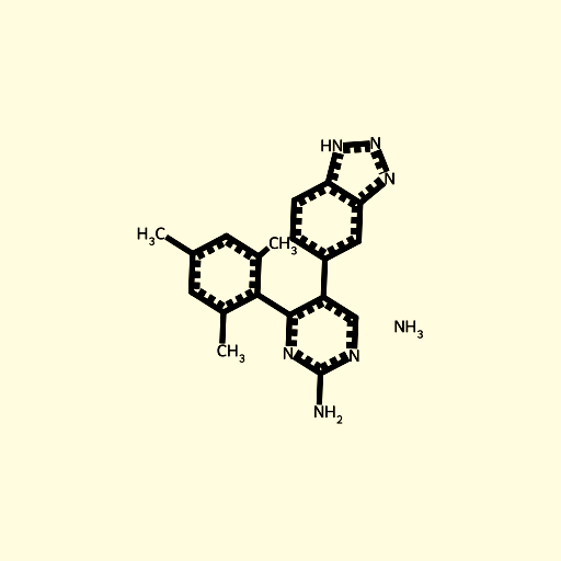 Cc1cc(C)c(-c2nc(N)ncc2-c2ccc3[nH]nnc3c2)c(C)c1.N